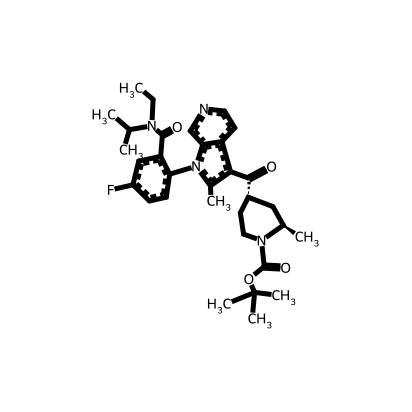 CCN(C(=O)c1cc(F)ccc1-n1c(C)c(C(=O)[C@H]2CCN(C(=O)OC(C)(C)C)[C@H](C)C2)c2ccncc21)C(C)C